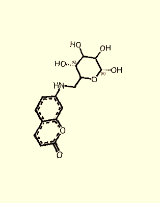 O=c1ccc2ccc(NCC3O[C@@H](O)C(O)C(O)[C@H]3O)cc2o1